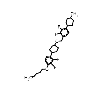 C=CCCCOc1ccc(C2CCC(OCc3ccc(C4CCC(C)CC4)c(F)c3F)CC2)c(F)c1F